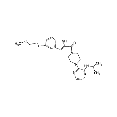 COCCOc1ccc2[nH]c(C(=O)N3CCN(c4ncccc4NC(C)C)CC3)cc2c1